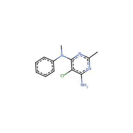 Cc1nc(N)c(Cl)c(N(C)c2ccccc2)n1